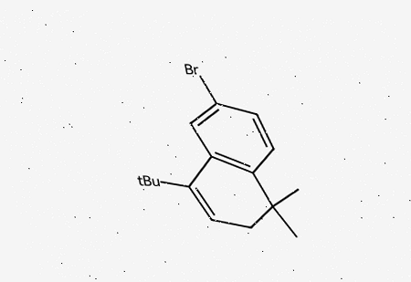 CC(C)(C)C1=CCC(C)(C)c2ccc(Br)cc21